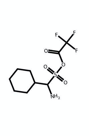 NC(C1CCCCC1)S(=O)(=O)OC(=O)C(F)(F)F